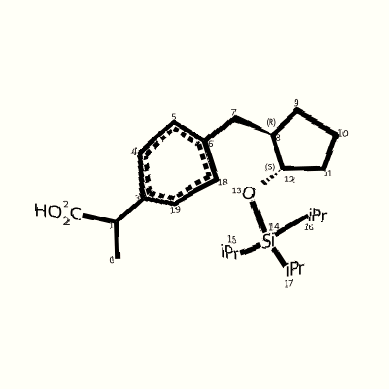 CC(C(=O)O)c1ccc(C[C@H]2CCC[C@@H]2O[Si](C(C)C)(C(C)C)C(C)C)cc1